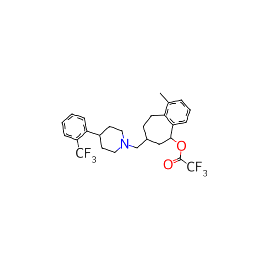 Cc1cccc2c1CCC(CN1CCC(c3ccccc3C(F)(F)F)CC1)CC2OC(=O)C(F)(F)F